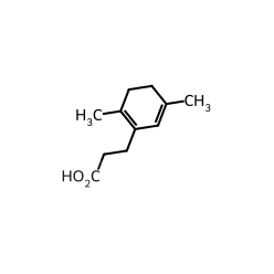 CC1=CC(CCC(=O)O)=C(C)CC1